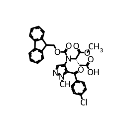 COC(=O)[C@H](CC(=O)O)N(C(=O)OCC1c2ccccc2-c2ccccc21)c1cnn(C)c1C(=O)c1ccc(Cl)cc1